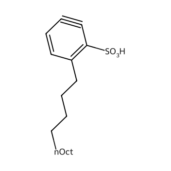 CCCCCCCCCCCCc1ccc#cc1S(=O)(=O)O